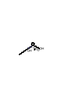 CCCCCCCCC(O)/C=C/C=C/[C@H]1CC=CC[C@@H]1C(CCCC(=O)O)OC(C)=O